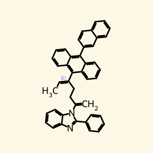 C=C(CC/C(=C\C)c1c2ccccc2c(-c2ccc3ccccc3c2)c2ccccc12)n1c(-c2ccccc2)nc2ccccc21